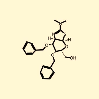 CN(C)C1=N[C@@H]2[C@@H](OCc3ccccc3)[C@@H](OCc3ccccc3)[C@@H](CO)O[C@@H]2S1